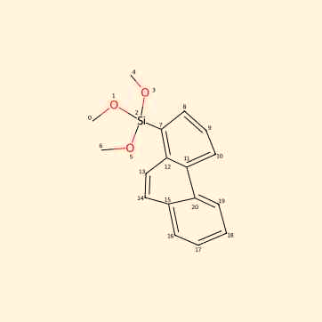 CO[Si](OC)(OC)c1cccc2c1ccc1ccccc12